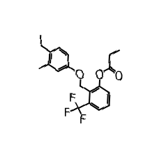 CCC(=O)Oc1cccc(C(F)(F)F)c1COc1ccc(CC)c(C)c1